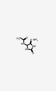 N.NC(=O)NC1NC(=O)NC1=O